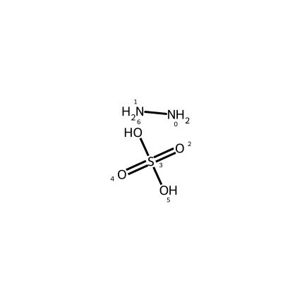 NN.O=S(=O)(O)O